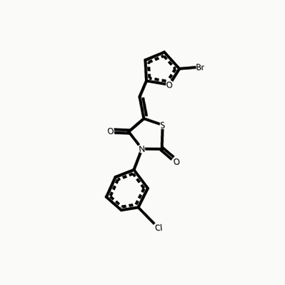 O=C1S/C(=C\c2ccc(Br)o2)C(=O)N1c1cccc(Cl)c1